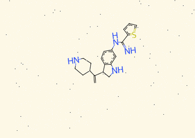 C=C(C1CCNCC1)C1CNc2cc(NC(=N)c3cccs3)ccc21